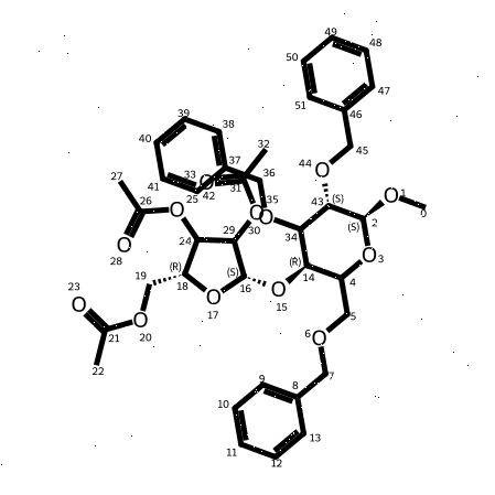 CO[C@H]1OC(COCc2ccccc2)[C@@H](O[C@@H]2O[C@H](COC(C)=O)C(OC(C)=O)C2OC(C)=O)C(OCc2ccccc2)[C@@H]1OCc1ccccc1